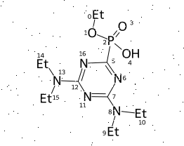 CCOP(=O)(O)c1nc(N(CC)CC)nc(N(CC)CC)n1